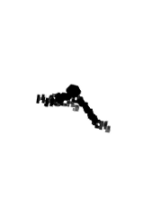 C=CC(C)(O)C=Cc1ccccc1OCCCCCCCCC